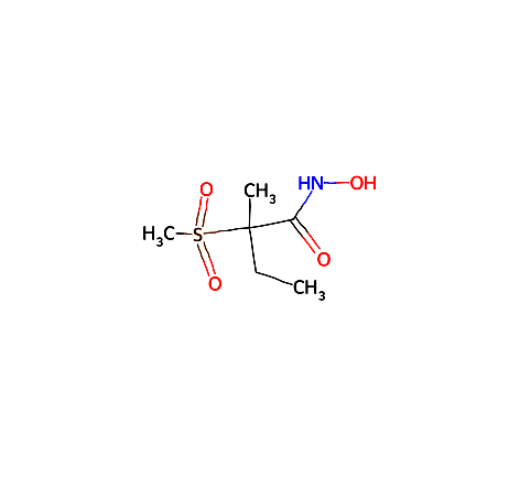 CCC(C)(C(=O)NO)S(C)(=O)=O